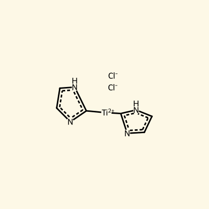 [Cl-].[Cl-].c1c[nH][c]([Ti+2][c]2ncc[nH]2)n1